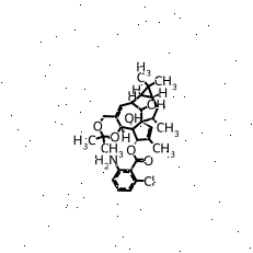 CC1=C[C@]23C(O)[C@@H](C=C4COC(C)(C)O[C@H]4[C@]2(O)[C@H]1OC(=O)c1c(N)cccc1Cl)[C@H]1[C@@H](C[C@H]3C)C1(C)C